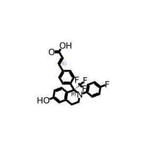 O=C(O)/C=C/c1ccc([C@]2(C(F)(F)F)c3ccc(O)cc3CCN2c2ccc(F)cc2)cc1